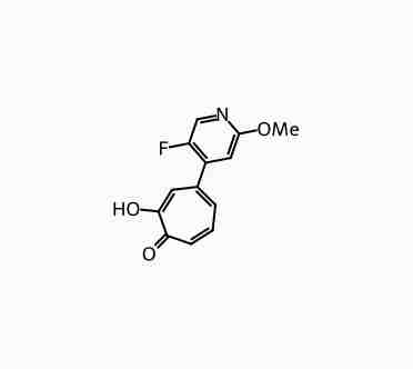 COc1cc(-c2cccc(=O)c(O)c2)c(F)cn1